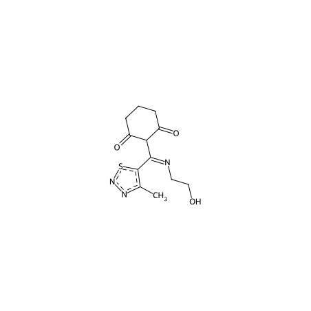 Cc1nnsc1C(=NCCO)C1C(=O)CCCC1=O